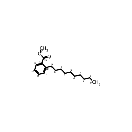 CCCCCCCCC[CH]c1ccccc1C(=O)OC